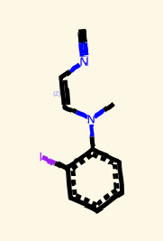 C=N/C=C\N(C)c1ccccc1I